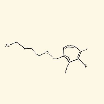 CC(=O)CCCCOCc1ccc(F)c(F)c1F